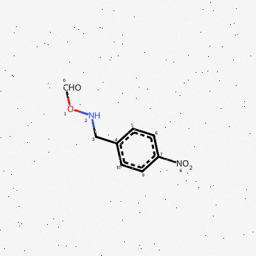 O=CONCc1ccc([N+](=O)[O-])cc1